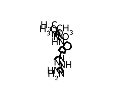 CC(C)(C)c1nnc(C(=O)NC2CCCCc3cc(-c4ccnc(N/C(C=N)=C/N)n4)ccc32)o1